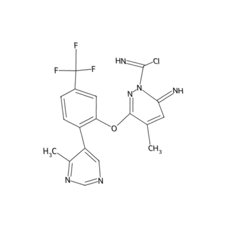 Cc1cc(=N)n(C(=N)Cl)nc1Oc1cc(C(F)(F)F)ccc1-c1cncnc1C